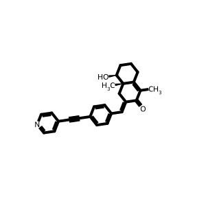 CC1=C2CCC[C@H](O)[C@@]2(C)CC(=Cc2ccc(C#Cc3ccncc3)cc2)C1=O